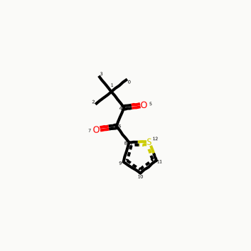 CC(C)(C)C(=O)C(=O)c1cccs1